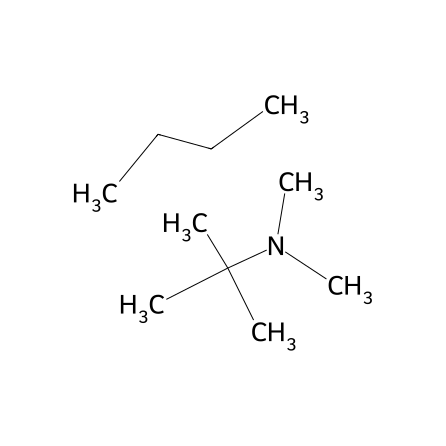 CCCC.CN(C)C(C)(C)C